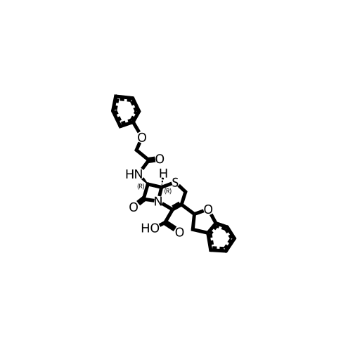 O=C(COc1ccccc1)N[C@@H]1C(=O)N2C(C(=O)O)=C(C3Cc4ccccc4O3)CS[C@H]12